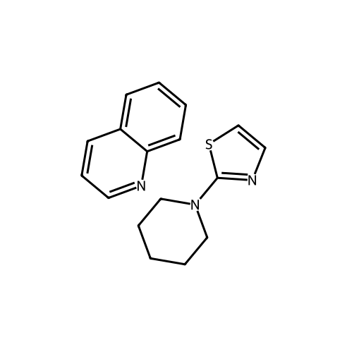 c1ccc2ncccc2c1.c1csc(N2CCCCC2)n1